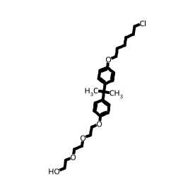 CC(C)(c1ccc(OCCCCCCCl)cc1)c1ccc(OCCOCCOCCO)cc1